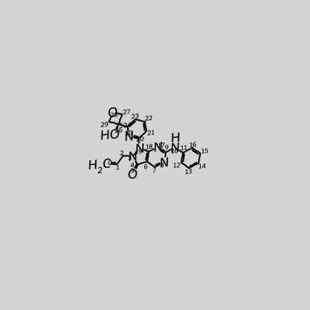 C=CCn1c(=O)c2cnc(Nc3ccccc3)nc2n1-c1cccc(C2(O)COC2)n1